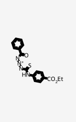 CCOC(=O)c1ccc(NC(=S)N=[N+]=NC(=O)c2ccccc2)cc1